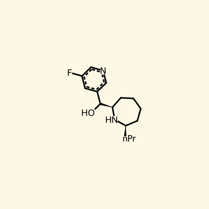 CCC[C@@H]1CCCC[C@H](C(O)c2cncc(F)c2)N1